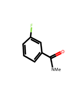 [CH2]NC(=O)c1cccc(F)c1